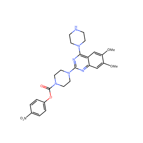 COc1cc2nc(N3CCN(C(=O)Oc4ccc([N+](=O)[O-])cc4)CC3)nc(N3CCNCC3)c2cc1OC